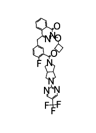 O=C(c1cc(Cc2nn(OC3CCC3)c(=O)c3ccccc23)ccc1F)N1CC2CN(c3ncc(C(F)(F)F)cn3)CC2C1